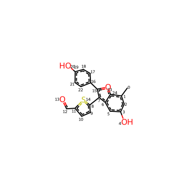 Cc1cc(O)cc2c(-c3ccc(C=O)s3)c(-c3ccc(O)cc3)oc12